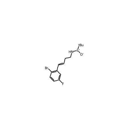 CC(C)(C)[S+]([O-])NCCC=Cc1cc(F)ccc1Br